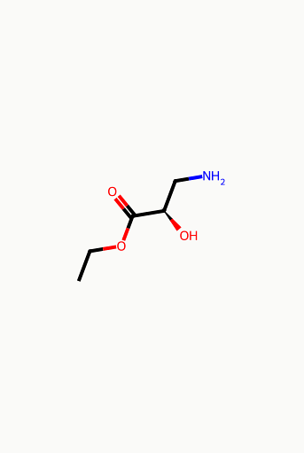 CCOC(=O)[C@H](O)CN